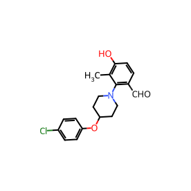 Cc1c(O)ccc(C=O)c1N1CCC(Oc2ccc(Cl)cc2)CC1